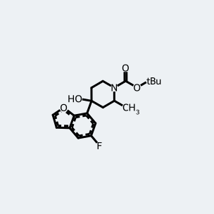 CC1CC(O)(c2cc(F)cc3ccoc23)CCN1C(=O)OC(C)(C)C